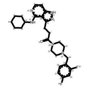 O=C(CCc1n[nH]c2ccnc(NC3CCCCC3)c12)N1CCN(Cc2ccc(F)cc2F)CC1